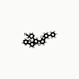 CC1(C#N)C=CC=C(c2ccc3oc4ccc5c6cc(-c7ccccc7)ccc6oc5c4c3c2)C1n1c2ccccc2c2ccccc21